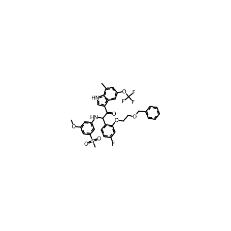 COc1cc(NC(C(=O)c2c[nH]c3c(C)cc(OC(F)(F)F)cc23)c2ccc(F)cc2OCCOCc2ccccc2)cc(S(C)(=O)=O)c1